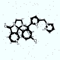 O=C(c1ccc(Cn2cccn2)o1)N1CCN2C(=O)c3ccncc3C12c1ccc(Cl)cc1